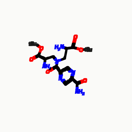 CC(C)(C)OC(=O)C(N)CN(CC(N)C(=O)OC(C)(C)C)C(=O)c1cnc(C(N)=O)cn1